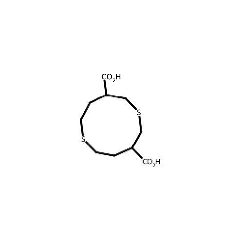 O=C(O)C1CCSCCC(C(=O)O)CSC1